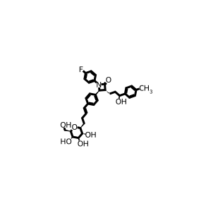 Cc1ccc([C@@H](O)CC[C@H]2C(=O)N(c3ccc(F)cc3)[C@@H]2c2ccc(/C=C/CC[C@@H]3O[C@H](CO)[C@@H](O)[C@H](O)[C@H]3O)cc2)cc1